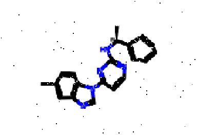 Cc1ccc2c(c1)ncn2-c1ccnc(N[C@@H](C)c2ccccc2)n1